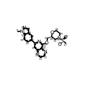 Cn1ncc2cc(-c3cc4nccnc4c(OC[C@@H]4CN(S(C)(=O)=O)CCO4)n3)ccc21